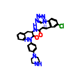 O=C(/C=C/c1cc(Cl)ccc1-n1cnnn1)NC(Cc1ccccc1)C(=O)Nc1ccc(N2CCNCC2)cc1